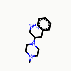 CN1CCN(C(CN)Cc2ccccc2)CC1